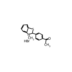 Br.CC(=O)c1ccc(C2Sc3ccccc3N2C)cc1